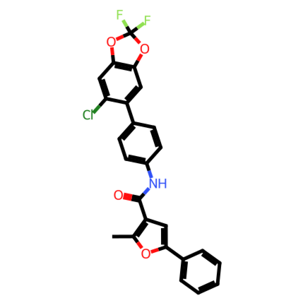 Cc1oc(-c2ccccc2)cc1C(=O)Nc1ccc(-c2cc3c(cc2Cl)OC(F)(F)O3)cc1